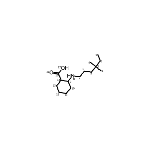 CCC(C)(C)CCCNC1CCCCC1C(=O)O